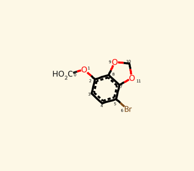 O=C(O)Oc1ccc(Br)c2c1OCO2